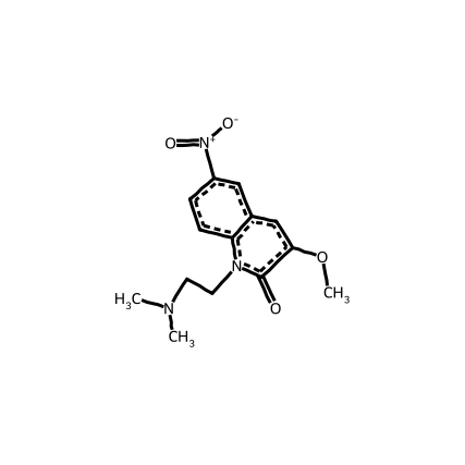 COc1cc2cc([N+](=O)[O-])ccc2n(CCN(C)C)c1=O